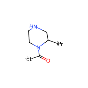 C[CH]C(=O)N1CCNCC1C(C)C